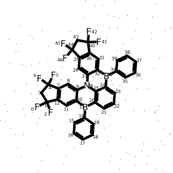 FC1(F)CC(F)(F)c2cc3c(cc21)B(c1ccccc1)c1cccc2c1N3c1cc3c(cc1B2c1ccccc1)C(F)(F)CC3(F)F